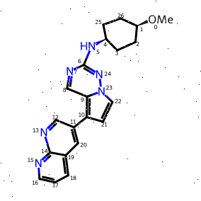 CO[C@H]1CC[C@@H](Nc2ncc3c(-c4cnc5ncccc5c4)ccn3n2)CC1